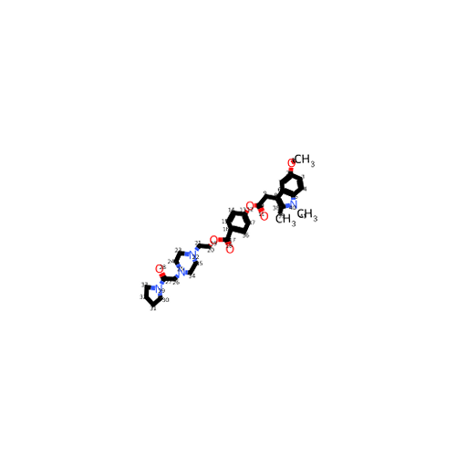 COc1ccc2c(c1)c(CC(=O)Oc1ccc(C(=O)OCCN3CCN(CC(=O)N4CCCC4)CC3)cc1)c(C)n2C